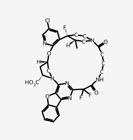 C[C@H]1CN2CC[C@]1(F)c1cc(Cl)cnc1O[C@H]1C[C@@H](C(=O)O)N(C1)c1nc(nc3c1oc1ccccc13)C(F)(F)C(=O)NCCCC2=O